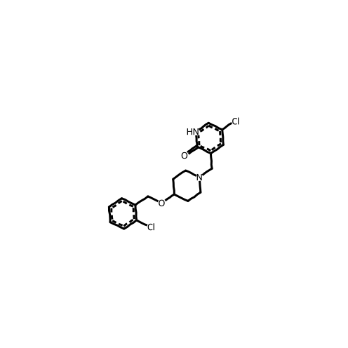 O=c1[nH]cc(Cl)cc1CN1CCC(OCc2ccccc2Cl)CC1